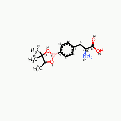 CC1OB(c2ccc(C[C@H](N)C(=O)O)cc2)OC1(C)C